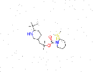 C[SH](C)C1CCCCN1C(=O)OC(C)(C)CC1CCC(C(C)(C)C)NC1